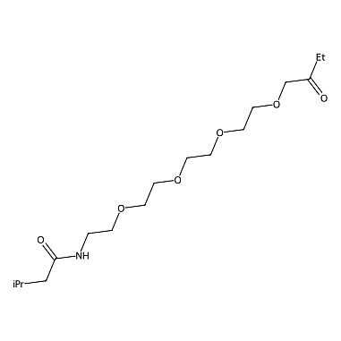 CCC(=O)COCCOCCOCCOCCNC(=O)CC(C)C